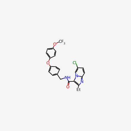 CCc1nc2ccc(Cl)cn2c1C(=O)NCc1ccc(Oc2ccc(OC(F)(F)F)cc2)cc1